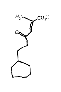 NC(=CC(=O)CCC1CCCCC1)C(=O)O